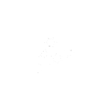 CC(C)(C)OC(=O)C(Cc1ccc(OS(N)(=O)=O)cc1)c1ncc(-c2ccccc2)s1